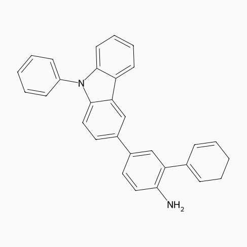 Nc1ccc(-c2ccc3c(c2)c2ccccc2n3-c2ccccc2)cc1C1=CCCC=C1